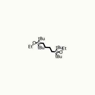 CCO[Si](CCCC[Si](OCC)(C(C)(C)C)C(C)(C)C)(C(C)(C)C)C(C)(C)C